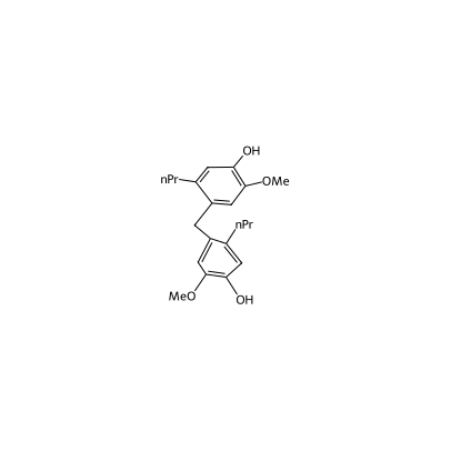 CCCc1cc(O)c(OC)cc1Cc1cc(OC)c(O)cc1CCC